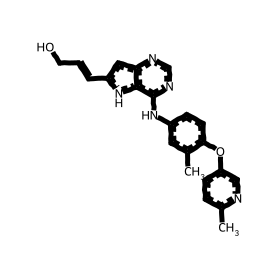 Cc1ccc(Oc2ccc(Nc3ncnc4cc(C=CCO)[nH]c34)cc2C)cn1